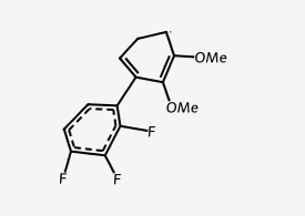 COC1=C(OC)C(c2ccc(F)c(F)c2F)=CC[CH]1